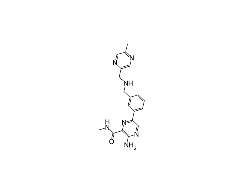 CNC(=O)c1nc(-c2cccc(CNCc3cnc(C)cn3)c2)cnc1N